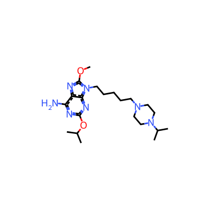 COc1nc2c(N)nc(OC(C)C)nc2n1CCCCCN1CCN(C(C)C)CC1